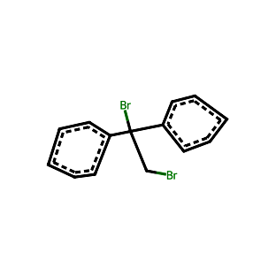 BrCC(Br)(c1ccccc1)c1ccccc1